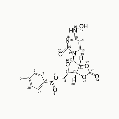 Cc1ccc(C(=O)OC[C@H]2O[C@@H](n3ccc(NO)nc3=O)[C@@H]3OC(=O)O[C@@H]32)cc1